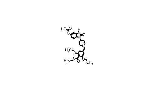 CCOC(=O)c1c(OCC)cc(CN2CCC(n3c(=O)[nH]c4cc(OC(=O)O)ccc43)CC2)cc1OCC